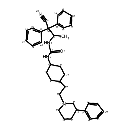 CC(NC(=O)NC1CCC(CCN2CCCC(c3ccccc3)C2)CC1)C(C#N)(c1ccccc1)c1ccccc1